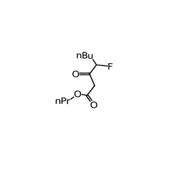 CCCCC(F)C(=O)CC(=O)OCCC